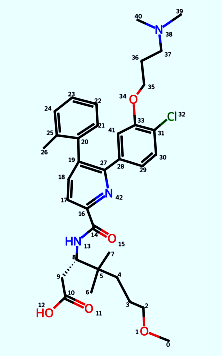 COCCCC(C)(C)[C@H](CC(=O)O)NC(=O)c1ccc(-c2ccccc2C)c(-c2ccc(Cl)c(OCCCN(C)C)c2)n1